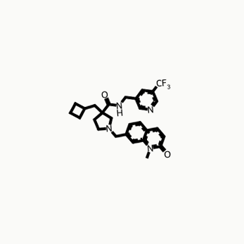 Cn1c(=O)ccc2ccc(CN3CCC(CC4CCC4)(C(=O)NCc4cncc(C(F)(F)F)c4)C3)cc21